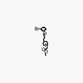 CCOC(=O)CN1CCC(CCCOc2cccc(Br)c2)CC1